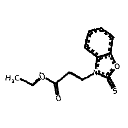 CCOC(=O)CCn1c(=S)oc2ccccc21